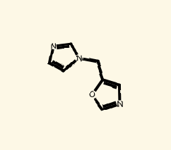 c1cn(Cc2cnco2)cn1